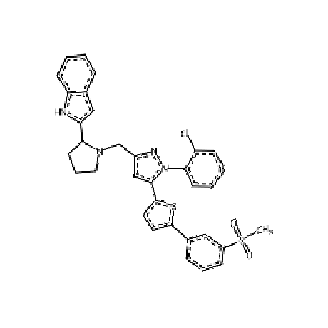 CS(=O)(=O)c1cccc(-c2ccc(-c3cc(CN4CCCC4c4cc5ccccc5[nH]4)nn3-c3ccccc3Cl)s2)c1